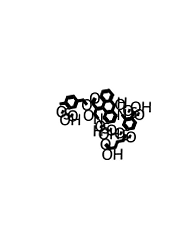 Cc1ccc(COC(=O)c2c3c4c(c(Nc5cc(S(=O)(=O)CCCC(=O)O)ccc5S(=O)(=O)O)cc(S(=O)(=O)O)c4[nH]c2=O)C(=O)c2ccccc2-3)cc1S(=O)(=O)O